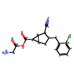 N#CC1C(Cc2ccccc2Cl)CC2C(C(=O)OC(=O)CN)C12